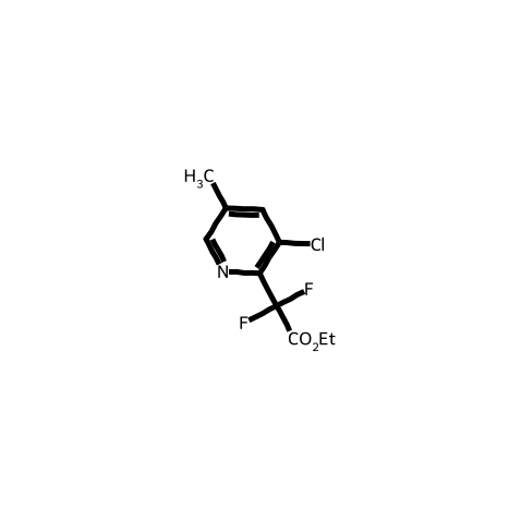 CCOC(=O)C(F)(F)c1ncc(C)cc1Cl